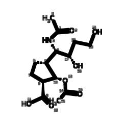 CC(=O)N[C@@H]([C@H]1CC[C@H](C(=O)O)[C@H]1OC(C)=O)[C@@H](O)CCO